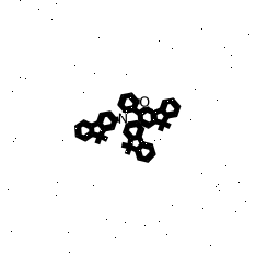 CC1(C)c2ccccc2-c2ccc(N(c3ccc4c(c3)C(C)(C)c3ccccc3-4)c3cccc4oc5c6c(ccc5c34)C(C)(C)c3ccccc3-6)cc21